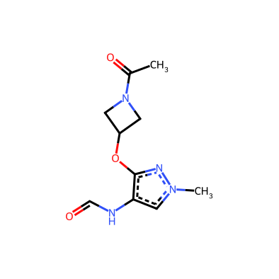 CC(=O)N1CC(Oc2nn(C)cc2NC=O)C1